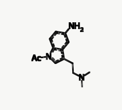 CC(=O)n1cc(CCN(C)C)c2cc(N)ccc21